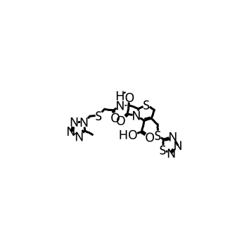 CO[C@]1(NC(=O)CSCn2nnnc2C)C(=O)N2C(C(=O)O)=C(CSc3nnns3)CSC21